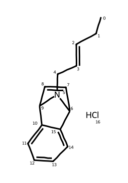 CC/C=C/CN1C2C=CC1c1ccccc12.Cl